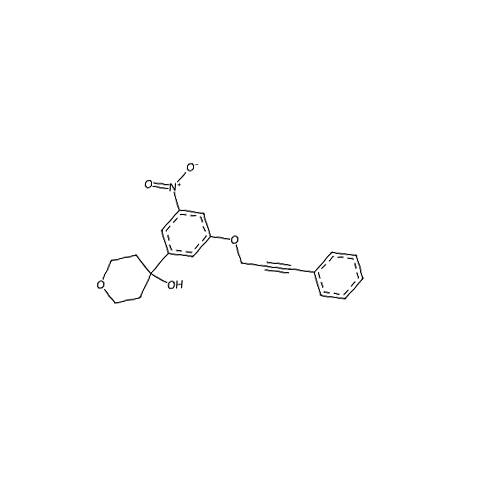 O=[N+]([O-])c1cc(OCC#Cc2ccccc2)cc(C2(O)CCOCC2)c1